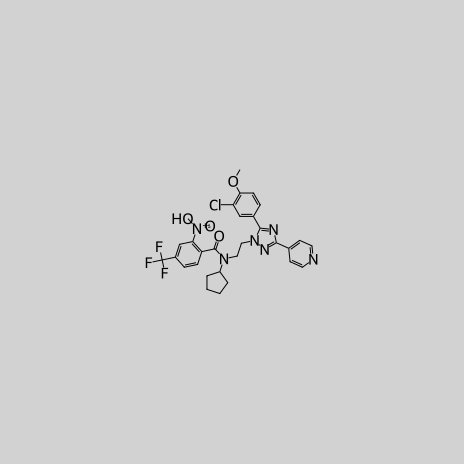 COc1ccc(-c2nc(-c3ccncc3)nn2CCN(C(=O)c2ccc(C(F)(F)F)cc2[N+](=O)O)C2CCCC2)cc1Cl